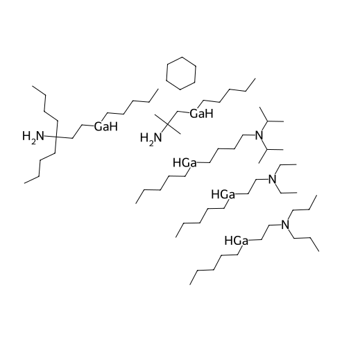 C1CCCCC1.CCCC[CH2][GaH][CH2]C(C)(C)N.CCCC[CH2][GaH][CH2]CC(N)(CCCC)CCCC.CCCC[CH2][GaH][CH2]CCCN(C(C)C)C(C)C.CCCC[CH2][GaH][CH2]CN(CC)CC.CCCC[CH2][GaH][CH2]CN(CCC)CCC